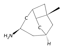 C[C@]12CC3C[C@H](N)C[C@@H](CC31)C2